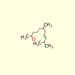 C=C(CC=C[C](C)C)CCCC(C)=O